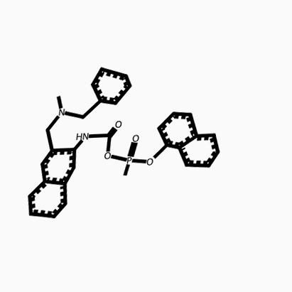 CN(Cc1ccccc1)Cc1cc2ccccc2cc1NC(=O)OP(C)(=O)Oc1cccc2ccccc12